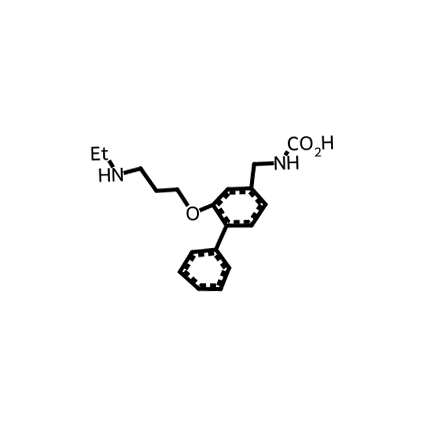 CCNCCCOc1cc(CNC(=O)O)ccc1-c1ccccc1